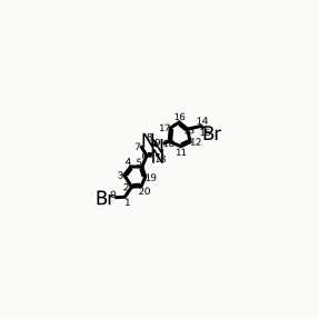 BrCc1ccc(-c2cnn(-c3ccc(CBr)cc3)n2)cc1